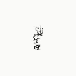 FC(F)(Cl)c1nc(-c2cc[c]c(SCc3ncon3)c2)no1